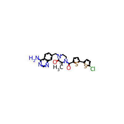 C[C@H]1C(=O)N(Cc2ccc3c(N)ncnc3c2)CCN1C(=O)c1ccc(-c2ccc(Cl)s2)s1